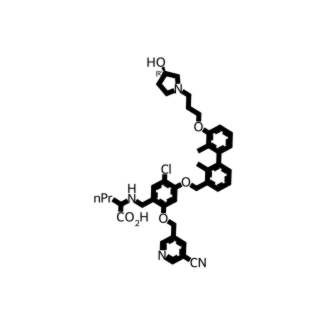 CCCC(NCc1cc(Cl)c(OCc2cccc(-c3cccc(OCCCN4CC[C@@H](O)C4)c3C)c2C)cc1OCc1cncc(C#N)c1)C(=O)O